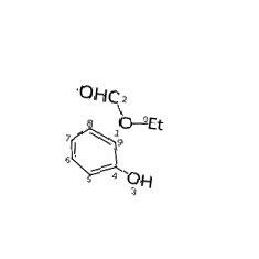 CCO[C]=O.Oc1ccccc1